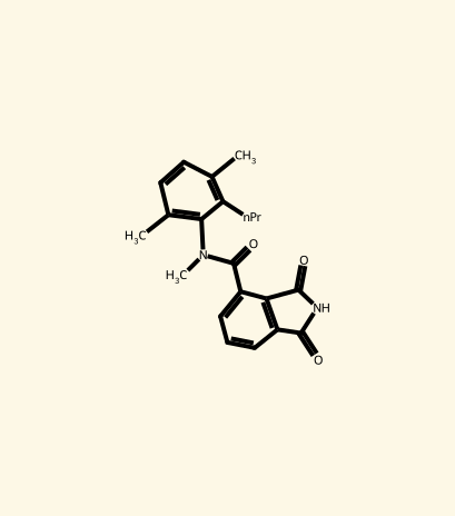 CCCc1c(C)ccc(C)c1N(C)C(=O)c1cccc2c1C(=O)NC2=O